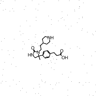 CC1(c2ccc(CCC(=O)O)cc2)CNC(=O)N1CCC1CCNCC1